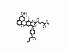 C/C=C/C(=O)N1CCN(c2nc(NCCC(=O)N(C)C)nc3c(F)c([C@@H]4c5ccccc5CC(O)[C@@H]4C)c(Cl)cc23)CC1